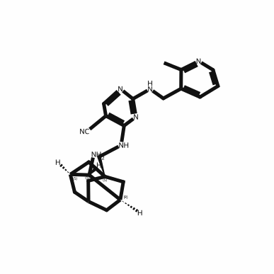 Cc1ncccc1CNc1ncc(C#N)c(NC[C@]23CC4C[C@H](C2)[C@@H](N)[C@@H](C4)C3)n1